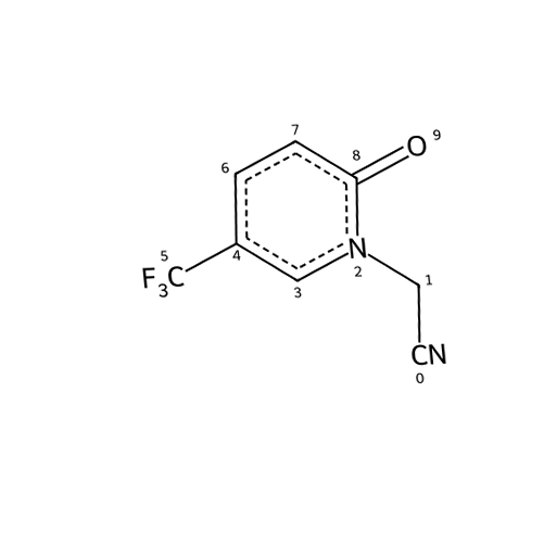 N#CCn1cc(C(F)(F)F)ccc1=O